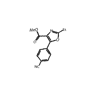 CCc1nc(C(=O)OC)c(-c2ccc(C#N)cc2)o1